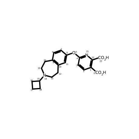 O=C(O)c1ccc(Oc2ccc3c(c2)CCN(C2CCC2)CC3)nc1C(=O)O